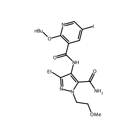 CCCCOc1ncc(I)cc1C(=O)Nc1c(CC)nn(CCOC)c1C(N)=O